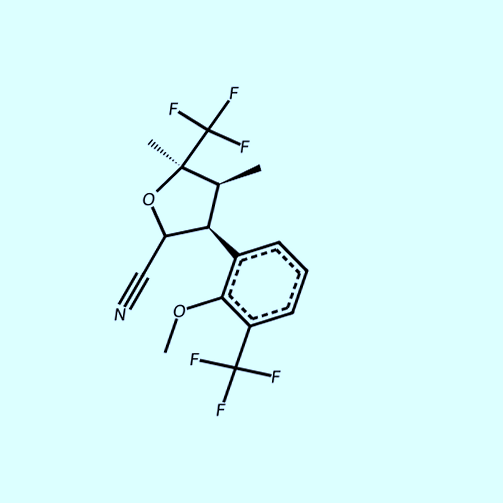 COc1c([C@H]2C(C#N)O[C@@](C)(C(F)(F)F)[C@H]2C)cccc1C(F)(F)F